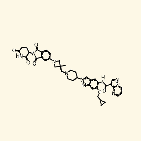 CC1(CN2CCC(n3cc4cc(NC(=O)c5cnn6cccnc56)c(OCC5CC5)cc4n3)CC2)CN(c2ccc3c(c2)C(=O)N(C2CCC(=O)NC2=O)C3=O)C1